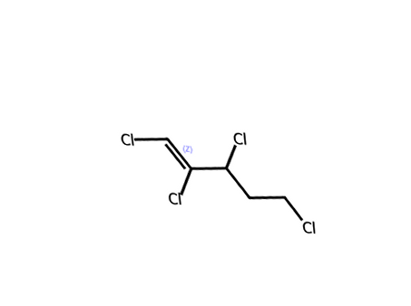 Cl/C=C(\Cl)C(Cl)CCCl